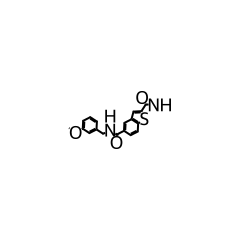 CNC(=O)c1cc2cc(C(=O)NCc3cccc(OC)c3)ccc2s1